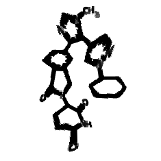 Cn1cnc(-c2ccc3c(c2)CN(C2CCC(=O)NC2=O)C3=O)c1-c1cnn(C2CCCCC2)c1